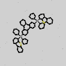 c1ccc([Si](c2ccccc2)(c2ccc3c4ccc([Si](c5ccccc5)(c5ccccc5)c5cccc6c5sc5ccccc56)cc4c4ccccc4c3c2)c2cccc3c2sc2ccccc23)cc1